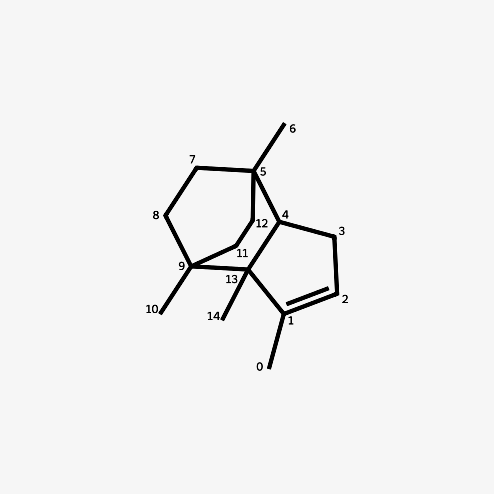 CC1=CCC2C3(C)CCC(C)(CC3)C12C